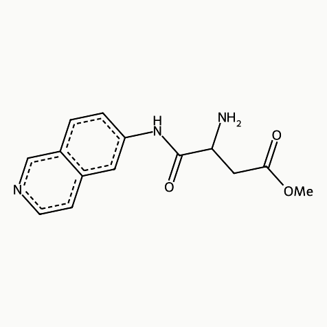 COC(=O)CC(N)C(=O)Nc1ccc2cnccc2c1